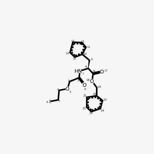 O=C(COCCI)N[C@@H](Cc1ccccc1)C(=O)OCc1ccccc1